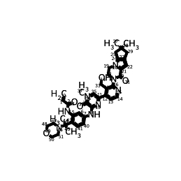 C=CC(=O)Nc1cc(Nc2nc(-c3ccnc(N4CCn5c(cc6c5CC(C)(C)C6)C4=O)c3CO)cn(C)c2=O)ccc1C(C)(C)N1CCOCC1